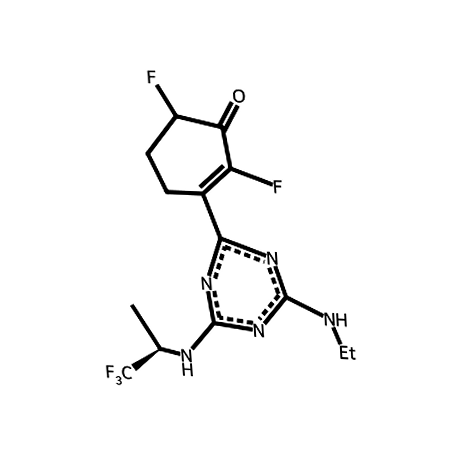 CCNc1nc(N[C@H](C)C(F)(F)F)nc(C2=C(F)C(=O)C(F)CC2)n1